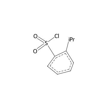 CC(C)c1ccccc1S(=O)(=O)Cl